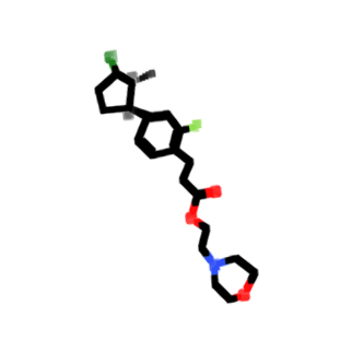 C[C@H]1C(Cl)CC[C@@H]1c1ccc(CCC(=O)OCCN2CCOCC2)c(F)c1